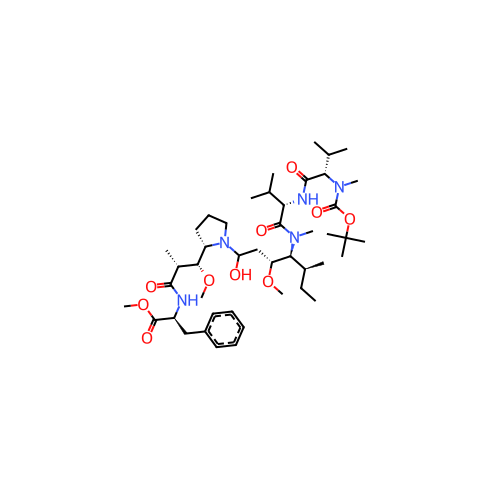 CC[C@H](C)[C@@H]([C@@H](CC(O)N1CCC[C@H]1[C@H](OC)[C@@H](C)C(=O)N[C@@H](Cc1ccccc1)C(=O)OC)OC)N(C)C(=O)[C@@H](NC(=O)[C@H](C(C)C)N(C)C(=O)OC(C)(C)C)C(C)C